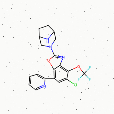 FC(F)(F)Oc1c(Cl)cc(-c2ccccn2)c2oc(N3CC4CCC(C3)N4)nc12